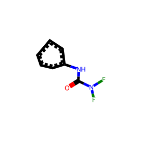 O=C(Nc1ccccc1)N(F)F